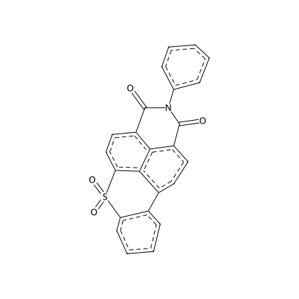 O=C1c2ccc3c4c(ccc(c24)C(=O)N1c1ccccc1)S(=O)(=O)c1ccccc1-3